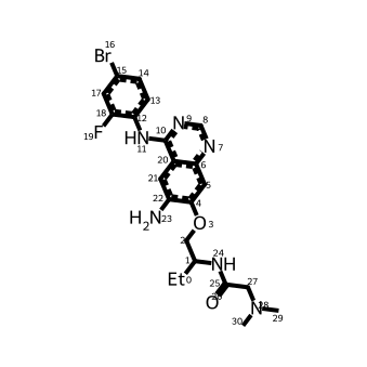 CCC(COc1cc2ncnc(Nc3ccc(Br)cc3F)c2cc1N)NC(=O)CN(C)C